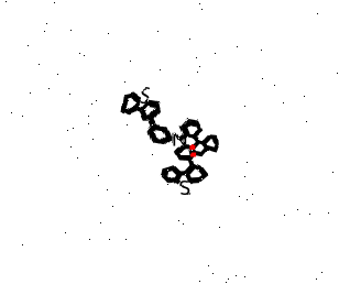 c1cc(-c2ccc3sc4ccccc4c3c2)cc(N(c2ccc(-c3cccc4sc5ccccc5c34)cc2)c2ccccc2-c2cccc3ccccc23)c1